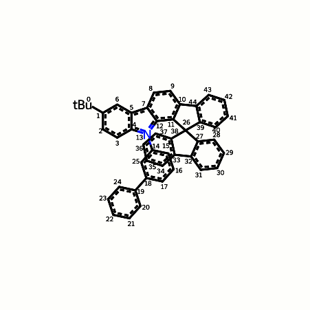 CC(C)(C)c1ccc2c(c1)c1ccc3c(c1n2-c1cccc(-c2ccccc2)c1)C1(c2ccccc2-c2ccccc21)c1ccccc1-3